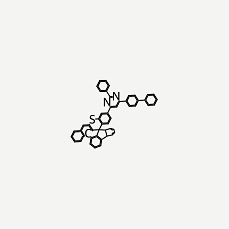 C1=CC2c3ccccc3C3(c4ccc(-c5cc(-c6ccc(-c7ccccc7)cc6)nc(-c6ccccc6)n5)cc4Sc4cc5ccccc5cc43)C2C=C1